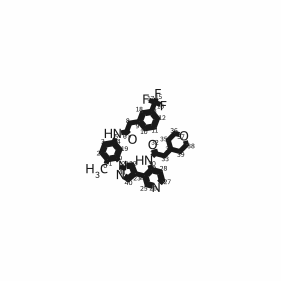 Cc1ccc(NC(=O)Cc2cccc(C(F)(F)F)c2)cc1-n1cc(-c2cnccc2NC(=O)CC2CCOCC2)cn1